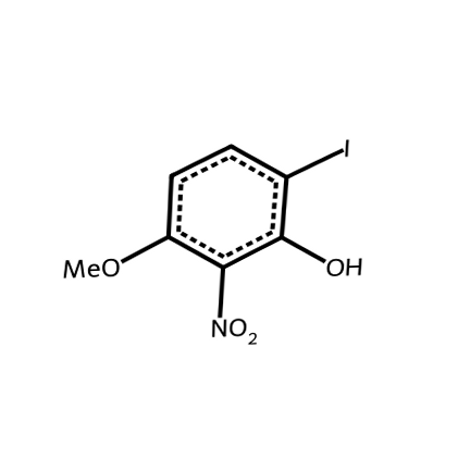 COc1ccc(I)c(O)c1[N+](=O)[O-]